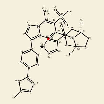 Cc1cnc(-c2ccc(-c3cnn4c(N)c(S(C)(=O)=O)c(C5C[C@H]6CC[C@@H](C5)N6C(=O)c5cn[nH]n5)nc34)cn2)s1